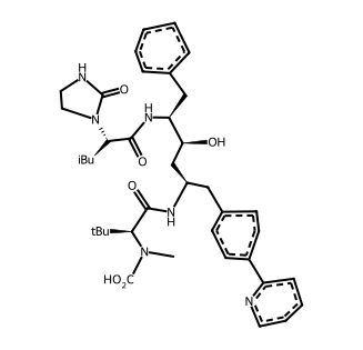 CC[C@H](C)[C@@H](C(=O)N[C@@H](Cc1ccccc1)[C@@H](O)C[C@@H](Cc1ccc(-c2ccccn2)cc1)NC(=O)[C@@H](N(C)C(=O)O)C(C)(C)C)N1CCNC1=O